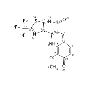 COC1=CC(=Cc2c(N)n3nc(C(F)(F)F)sc3nc2=O)C=CC1=O